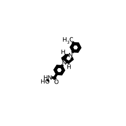 Cc1cccc(N2C[C@H]3C[C@@H]2CN3c2ccc(C(=O)NO)cc2)c1